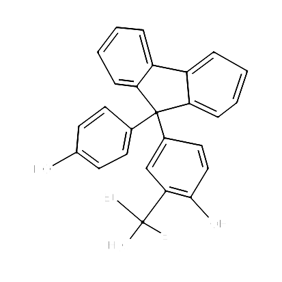 CCC(C)(CC)c1cc(C2(c3ccc(O)cc3)c3ccccc3-c3ccccc32)ccc1O